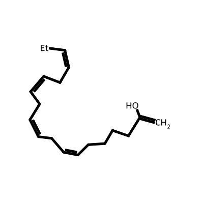 C=C(O)CCCC/C=C\C/C=C\C/C=C\C/C=C\CC